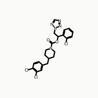 O=C(OC(Cn1ncnn1)c1ccccc1Cl)N1CCC(Cc2ccc(Cl)c(Cl)c2)CC1